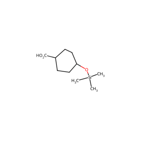 C[Si](C)(C)OC1CCC(C(=O)O)CC1